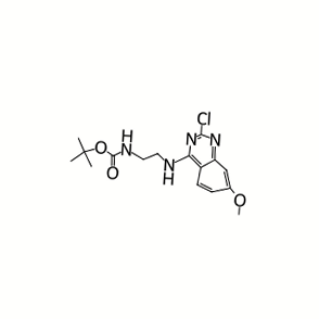 COc1ccc2c(NCCNC(=O)OC(C)(C)C)nc(Cl)nc2c1